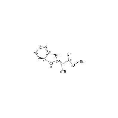 CCCCOC(=O)/C(C#N)=C1\Nc2ccccc2O1